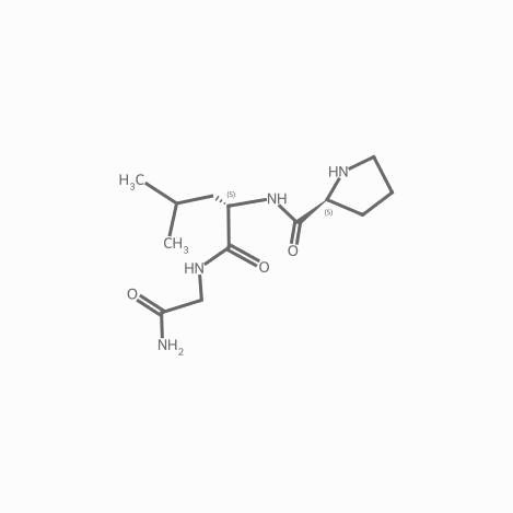 CC(C)C[C@H](NC(=O)[C@@H]1CCCN1)C(=O)NCC(N)=O